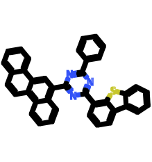 c1ccc(-c2nc(-c3cc4c5ccccc5ccc4c4ccccc34)nc(-c3cccc4c3sc3ccccc34)n2)cc1